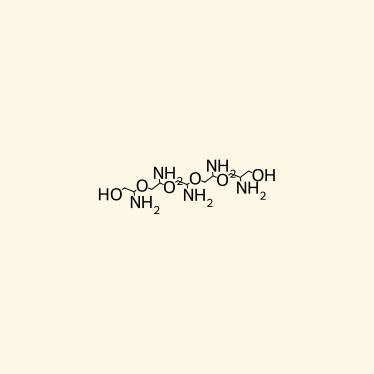 NC(CO)COC(N)COC(N)COC(N)COC(N)CO